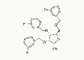 N#C[C@H]1O[C@H](COCc2cccc(F)c2)[C@@H](OCc2cccc(F)c2)[C@H]1OCc1cccc(F)c1